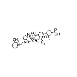 CC1CSCCN(CCNC23CCC[C@@H]2C2CCC4C5(C)CC=C(C6=CCC(C(=O)O)CC6)C(C)(C)C5CCC4(C)[C@]2(C)CC3)C1